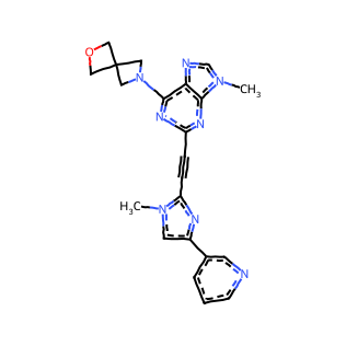 Cn1cc(-c2cccnc2)nc1C#Cc1nc(N2CC3(COC3)C2)c2ncn(C)c2n1